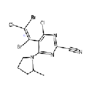 CC1CCCN1c1nc(C#N)nc(Cl)c1/C(Br)=C(/Cl)Br